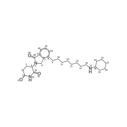 O=C1CCC(N2Cc3c(CCCCCCCCNC4CCCCC4)cccc3C2=O)C(=O)N1